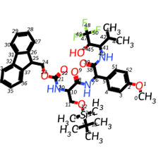 COc1ccc(C(NC(=O)C(CO[Si](C)(C)C(C)(C)C)NC(=O)OCC2c3ccccc3-c3ccccc32)C(=O)NC(C(C)C)C(O)C(F)(F)F)cc1